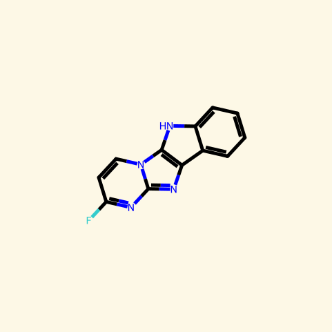 Fc1ccn2c(n1)nc1c3ccccc3[nH]c12